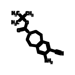 CC(C)(C)OC(=O)N1CCc2cc(N)c(C#N)cc2CC1